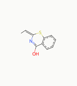 C/C=C1\N=C(O)c2ccccc2S1